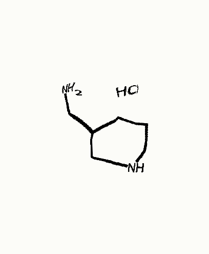 Cl.NCC1CCCNC1